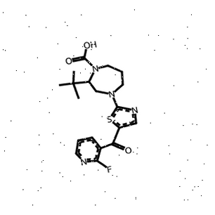 CC(C)(C)C1CN(c2ncc(C(=O)c3cccnc3F)s2)CCCN1C(=O)O